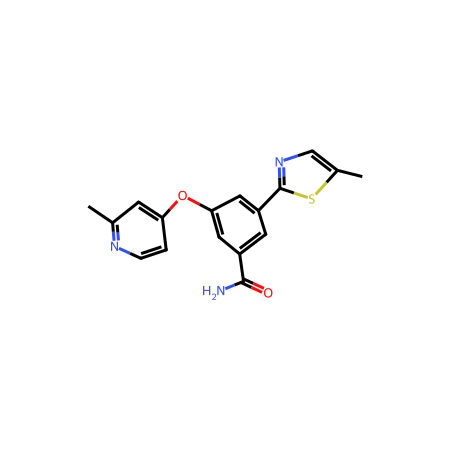 Cc1cc(Oc2cc(C(N)=O)cc(-c3ncc(C)s3)c2)ccn1